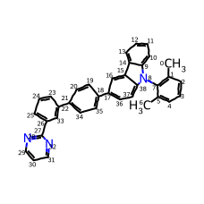 Cc1cccc(C)c1-n1c2ccccc2c2cc(-c3ccc(-c4cccc(-c5ncccn5)c4)cc3)ccc21